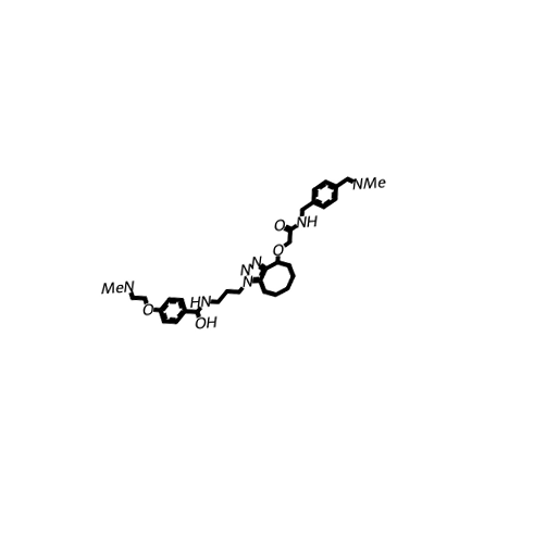 CNCCOc1ccc(C(O)NCCCn2nnc3c2CCCCCC3OCC(=O)NCc2ccc(CNC)cc2)cc1